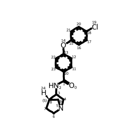 O=C(NC1CN2CC[C@H]1C2)c1ccc(Oc2ccc(Cl)cc2)cc1